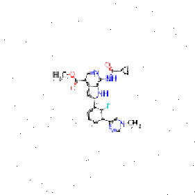 COC(=O)c1cnc(NC(=O)C2CC2)c2[nH]c(-c3cccc(-c4cn(C)cn4)c3F)cc12